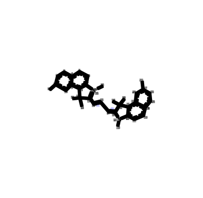 Cc1ccc2ccc3c(c2c1)C(C)(C)C(/C=C/C=C1/N(C)c2ccc4ccc(C)cc4c2C1(C)C)=[N+]3C